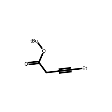 [CH2]CC#CCC(=O)OC(C)(C)C